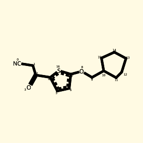 N#CCC(=O)c1ccc(OCC2CCCCC2)s1